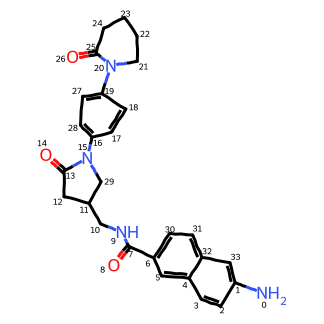 Nc1ccc2cc(C(=O)NCC3CC(=O)N(c4ccc(N5CCCCC5=O)cc4)C3)ccc2c1